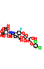 CC(=Cc1ccc(O[C@@H]2O[C@H](C(=CCOc3ccc(Cl)cc3Cl)CO)[C@@H](O)[C@@H]2O)c(F)c1)C(=O)N[C@@H]1[C@H](O)[C@@H](O)[C@H]2OCO[C@H]2[C@@H]1O